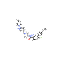 Cc1ccc(-c2cc(C(=O)NC3CCN(Cc4ccc(N5CCC(C)CC5)nc4)CC3)ccc2F)cc1